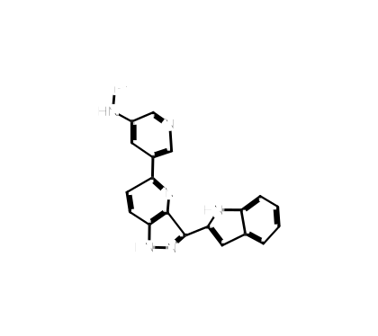 CC(C)Nc1cncc(-c2ccc3[nH]nc(-c4cc5ccccc5[nH]4)c3n2)c1